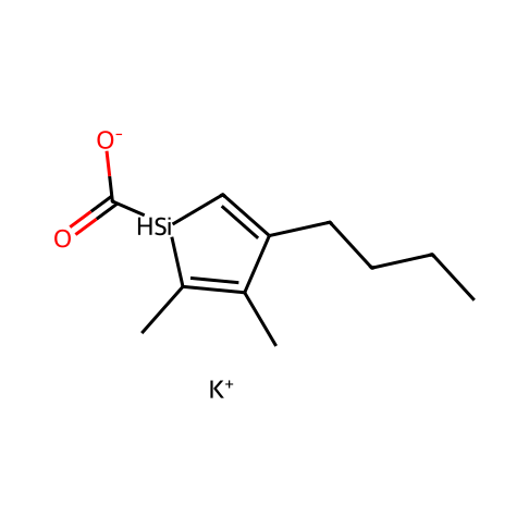 CCCCC1=C[SiH](C(=O)[O-])C(C)=C1C.[K+]